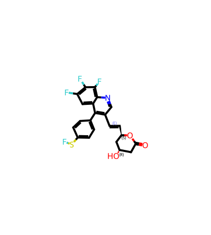 O=C1C[C@H](O)C[C@@H](/C=C/c2cnc3c(F)c(F)c(F)cc3c2-c2ccc(SF)cc2)O1